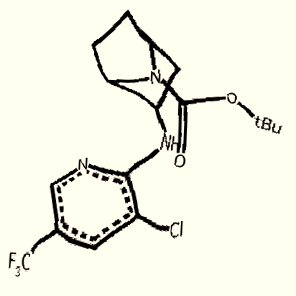 CC(C)(C)OC(=O)N1C2CCC1C(Nc1ncc(C(F)(F)F)cc1Cl)C2